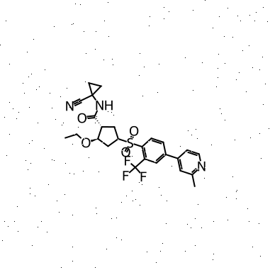 CCO[C@@H]1CC(S(=O)(=O)c2ccc(-c3ccnc(C)c3)cc2C(F)(F)F)C[C@H]1C(=O)NC1(C#N)CC1